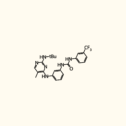 Cc1cnc(NC(C)(C)C)nc1Nc1cccc(NC(=O)Nc2cccc(C(F)(F)F)c2)c1